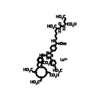 CCCCCCCCCCC(NCCCC[C@H](NC(=O)N[C@@H](CCC(=O)O)C(=O)O)C(=O)O)N1CCN(c2nc(Nc3ccc(CC4CN(CC(=O)O)CCN(CC(=O)O)CCN(CC(=O)O)CCN4CC(=O)O)cc3)nc(N3CCN(CC(=O)O)CC3)n2)CC1.[Lu+3]